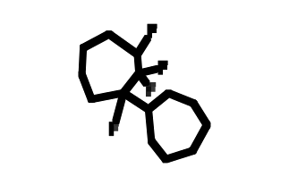 FC1CCCCC(F)(C2CCCCCC2)C1(F)F